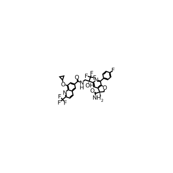 C[C@]1(C(N)=O)COc2c1cc([C@@](O)(CNC(=O)c1cc(OC3CC3)c3nc(C(F)(F)F)ccc3c1)C(F)(F)F)nc2-c1ccc(F)cc1